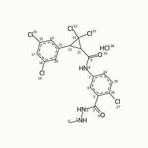 CNNC(=O)c1cc(NC(=O)C2C(c3cc(Cl)cc(Cl)c3)C2(Cl)Cl)ccc1Cl.Cl